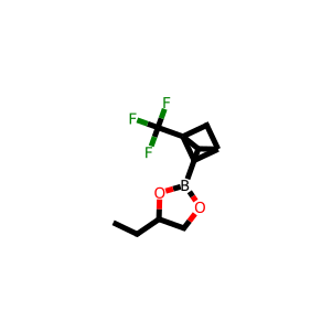 CCC1COB(C2C3CC2(C(F)(F)F)C3)O1